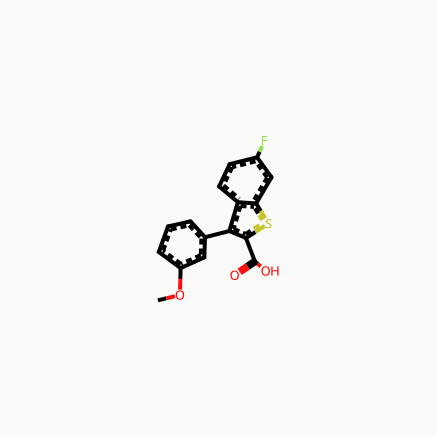 COc1cccc(-c2c(C(=O)O)sc3cc(F)ccc23)c1